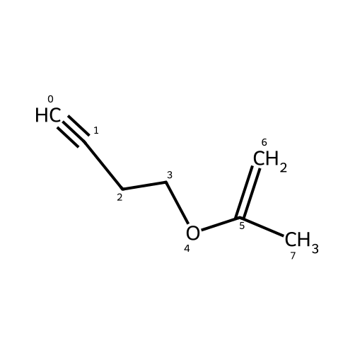 C#CCCOC(=C)C